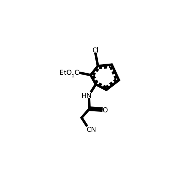 CCOC(=O)c1c(Cl)cccc1NC(=O)CC#N